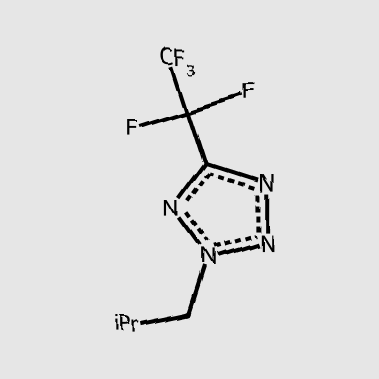 CC(C)Cn1nnc(C(F)(F)C(F)(F)F)n1